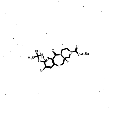 BC(B)(B)Oc1nc2c(cc1Br)OC[C@H]1CN(C(=O)OC(C)(C)C)CCN1C2=O